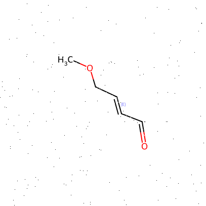 COC/C=C/[C]=O